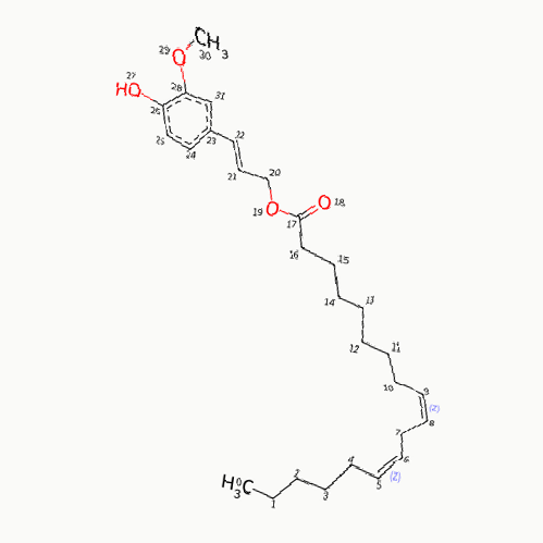 CCCCC/C=C\C/C=C\CCCCCCCC(=O)OCC=Cc1ccc(O)c(OC)c1